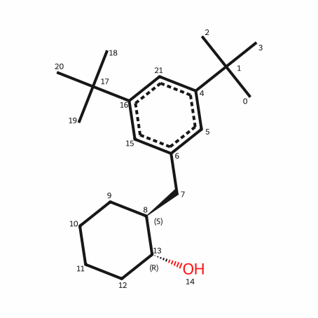 CC(C)(C)c1cc(C[C@@H]2CCCC[C@H]2O)cc(C(C)(C)C)c1